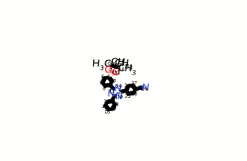 CC1(C)OB(c2cccc(-c3nc(-c4ccccc4)nc(-c4ccc(C#N)cc4)n3)c2)OC1(C)C